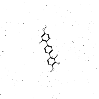 COc1ccc(-c2ccc(-c3ccc(OC)c(F)c3F)cc2)c(F)c1